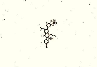 C#Cc1ccc2c(c1)[nH]c1c2c(=O)c2cc(CC(C)C)c(-c3cncc(OS(=O)(=O)F)c3)cc2n1CCCC